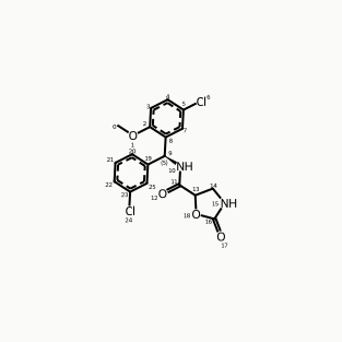 COc1ccc(Cl)cc1[C@@H](NC(=O)C1CNC(=O)O1)c1cccc(Cl)c1